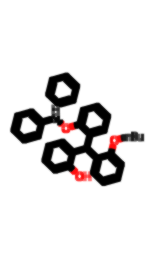 CCCCOc1ccccc1C(c1ccccc1O)c1ccccc1O[SiH](c1ccccc1)c1ccccc1